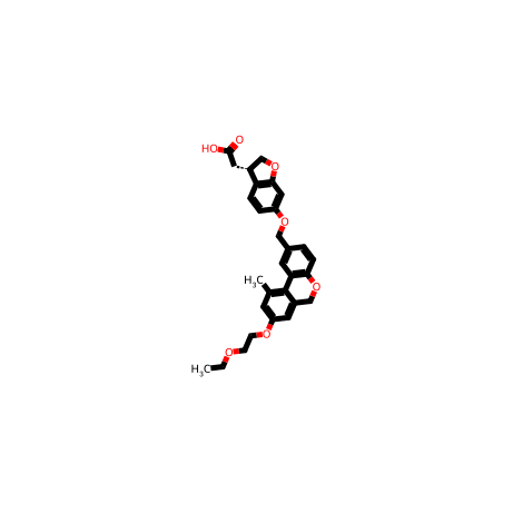 CCOCCOc1cc(C)c2c(c1)COc1ccc(COc3ccc4c(c3)OC[C@H]4CC(=O)O)cc1-2